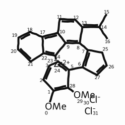 COc1cccc(C2=C(c3c4c(ccc3=C(C)C)=c3ccccc3=[C]4[Zr+2])CC=C2)c1OC.[Cl-].[Cl-]